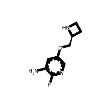 Nc1cc(OC[C@@H]2CCN2)cnc1F